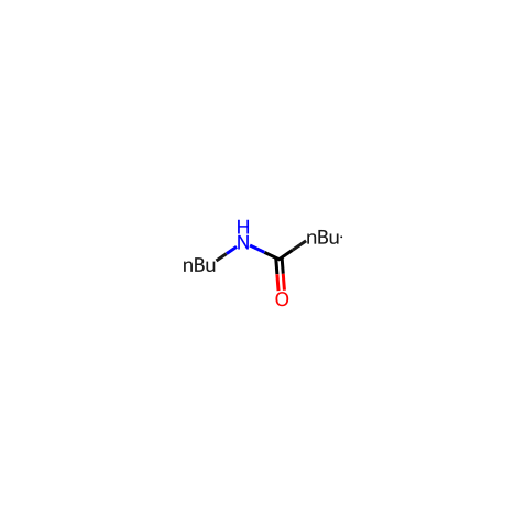 CCC[CH]C(=O)NCCCC